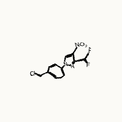 O=[N+]([O-])c1cn(-c2ccc(CCl)cc2)nc1C(F)F